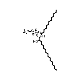 CCCCCCCCCCCCCCC[C@@H](O)[C@H](COP(=O)([O-])OCC[N+](C)(C)C)NC(=O)CCCCCCCCCCCC